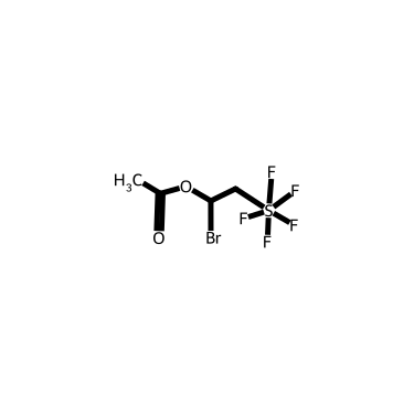 CC(=O)OC(Br)CS(F)(F)(F)(F)F